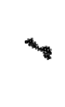 CC(C)C(OC(=O)N(C)C)N1C(=O)CCc2ccc(OCCCCN3CCN(c4cccc(Cl)c4Cl)CC3)cc21